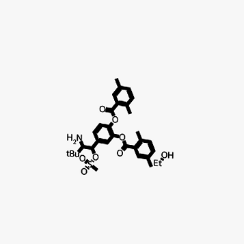 CCO.Cc1ccc(C)c(C(=O)Oc2ccc(C(OS(C)(=O)=O)C(N)C(C)(C)C)cc2OC(=O)c2cc(C)ccc2C)c1